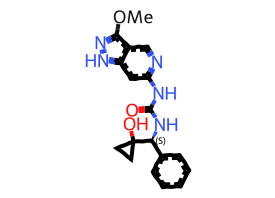 COc1n[nH]c2cc(NC(=O)N[C@@H](c3ccccc3)C3(O)CC3)ncc12